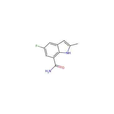 Cc1cc2cc(F)cc(C(N)=O)c2[nH]1